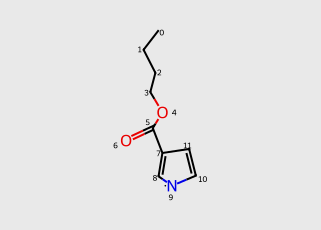 CCCCOC(=O)C1=C[N]C=C1